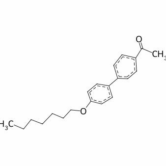 CCCCCCCOc1ccc(-c2ccc(C(C)=O)cc2)cc1